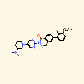 COc1cccc(-c2ccc3c(=O)n(-c4ncc(N5CCCC(N(C)C)C5)cn4)ncc3c2)c1C